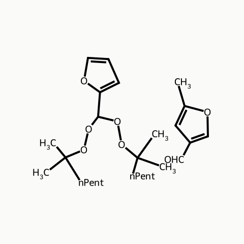 CCCCCC(C)(C)OOC(OOC(C)(C)CCCCC)c1ccco1.Cc1cc(C=O)co1